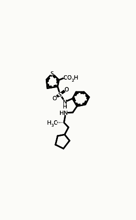 C[C@@H](CC1CCCC1)NCc1ccccc1NS(=O)(=O)c1ccsc1C(=O)O